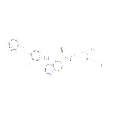 CC#C/C(=N\OCCN(C)C(=O)OC(C)(C)C)c1ccc2ncnc(Nc3ccc(OCc4cccnc4)c(Cl)c3)c2c1